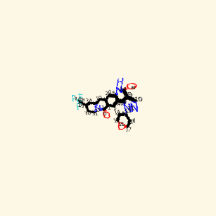 O=C1C2C=c3c([nH]c(=O)c4cnn(C5CCOCC5)c34)=CC2CC2CC(C(F)(F)F)CCN12